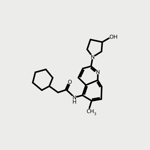 Cc1ccc2nc(N3CCC(O)C3)ccc2c1NC(=O)CC1CCCCC1